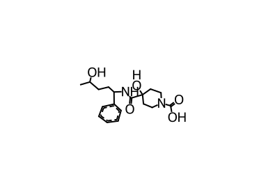 CC(O)CCC(NC(=O)C1(O)CCN(C(=O)O)CC1)c1ccccc1